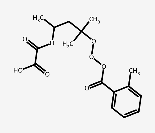 Cc1ccccc1C(=O)OOOC(C)(C)CC(C)OC(=O)C(=O)O